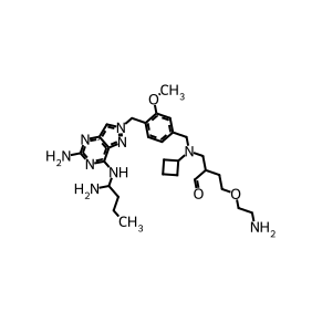 CCCC(N)Nc1nc(N)nc2cn(Cc3ccc(CN(CC(C=O)CCOCCN)C4CCC4)cc3OC)nc12